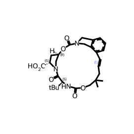 CC1(C)C/C=C/c2cccc3c2CN(C3)C(=O)O[C@@H]2C[C@@H](C(=O)O)N(C2)C(=O)[C@H](C(C)(C)C)NC(=O)OC1